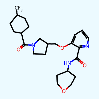 O=C(NC1CCOCC1)c1ncccc1OCC1CCN(C(=O)C2CCC(C(F)(F)F)CC2)C1